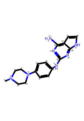 CN1CCN(c2ccc(Nc3nc(N)c4cc[nH]c4n3)cc2)CC1